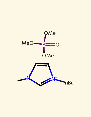 CCCC[n+]1ccn(C)c1.COP(=O)(OC)OC